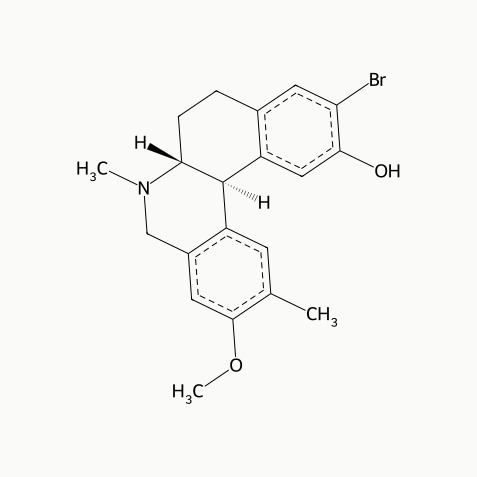 COc1cc2c(cc1C)[C@@H]1c3cc(O)c(Br)cc3CC[C@H]1N(C)C2